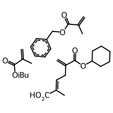 C=C(C)C(=O)OCC(C)C.C=C(C)C(=O)OCc1ccccc1.C=C(CC=C(C)C(=O)O)C(=O)OC1CCCCC1